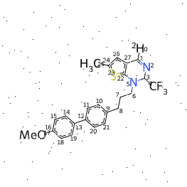 [2H]C1=NC(C(F)(F)F)N(CCCc2ccc(-c3ccc(OC)cc3)cc2)c2sc(C)cc21